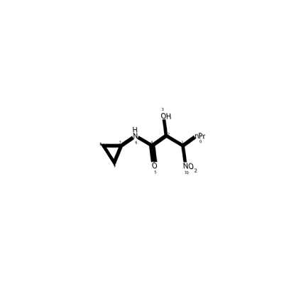 CCCC(C(O)C(=O)NC1CC1)[N+](=O)[O-]